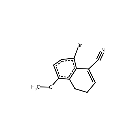 COc1ccc(Br)c2c1CCC=C2C#N